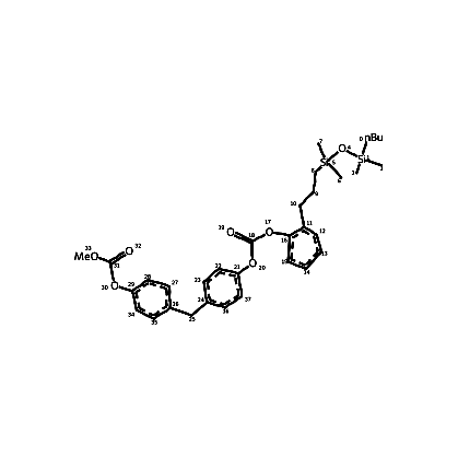 CCCC[Si](C)(C)O[Si](C)(C)CCCc1ccccc1OC(=O)Oc1ccc(Cc2ccc(OC(=O)OC)cc2)cc1